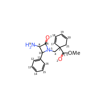 COC(=O)C1(CN2C(=O)C(N)C2c2ccccc2)C=CC=CC1